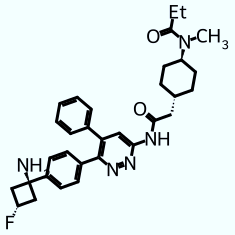 CCC(=O)N(C)[C@H]1CC[C@H](CC(=O)Nc2cc(-c3ccccc3)c(-c3ccc([C@]4(N)C[C@H](F)C4)cc3)nn2)CC1